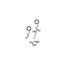 CN[C@@H](CCCCNC(=O)OCc1ccccc1)C(=O)O.O=COCc1ccccc1